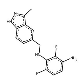 Cc1n[nH]c2ncc(CNc3c(F)ccc(N)c3F)cc12